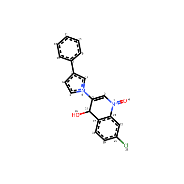 O=[N+]1C=C(n2ccc(-c3ccccc3)c2)C(O)c2ccc(Cl)cc21